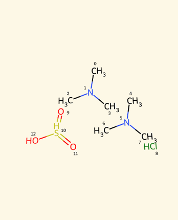 CN(C)C.CN(C)C.Cl.O=[SH](=O)O